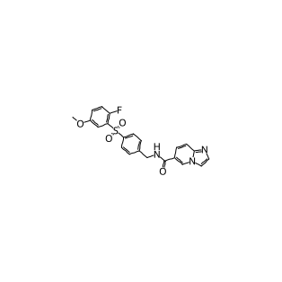 COc1ccc(F)c(S(=O)(=O)c2ccc(CNC(=O)c3ccc4nccn4c3)cc2)c1